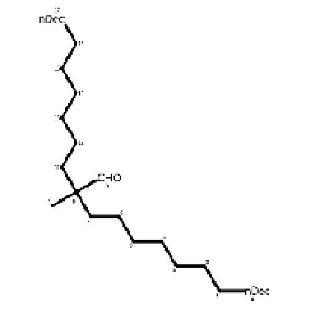 CCCCCCCCCCCCCCCCCC(C)([C]=O)CCCCCCCCCCCCCCCC